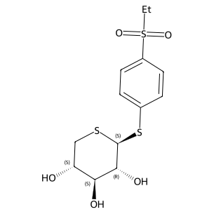 CCS(=O)(=O)c1ccc(S[C@@H]2SC[C@@H](O)[C@H](O)[C@H]2O)cc1